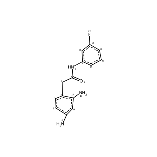 Nc1ccc(CC(=O)Nc2cccc(F)c2)c(N)c1